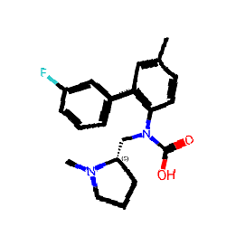 Cc1ccc(N(C[C@@H]2CCCN2C)C(=O)O)c(-c2cccc(F)c2)c1